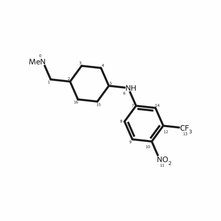 CNCC1CCC(Nc2ccc([N+](=O)[O-])c(C(F)(F)F)c2)CC1